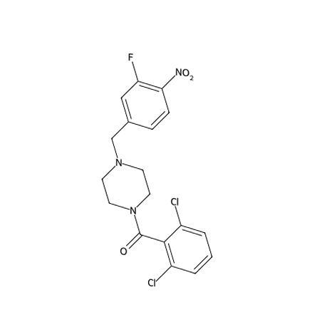 O=C(c1c(Cl)cccc1Cl)N1CCN(Cc2ccc([N+](=O)[O-])c(F)c2)CC1